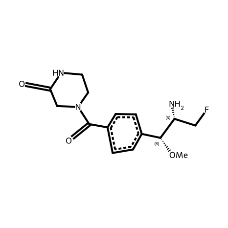 CO[C@H](c1ccc(C(=O)N2CCNC(=O)C2)cc1)[C@H](N)CF